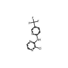 FC(F)(F)c1ccc(Nc2nccnc2Cl)nc1